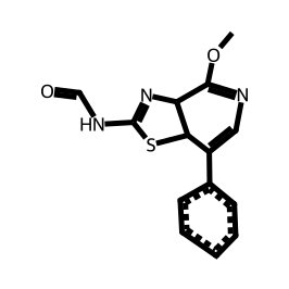 COC1=NC=C(c2ccccc2)C2SC(NC=O)=NC12